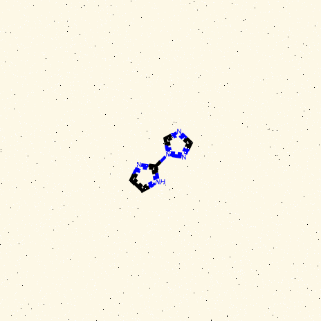 c1c[nH]c(-n2cncn2)n1